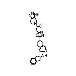 O=C(Cc1nnc([C@@H]2CCc3nc(NC4Cc5ccccc5C4)ncc3C2)o1)N1CCc2nn[nH]c2C1